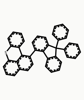 c1ccc(C2(c3ccccc3)c3ccccc3-c3c(-c4ccc5cccc6c5c4-c4ccccc4S6)cccc32)cc1